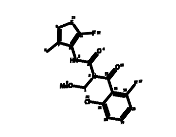 COCN(C(=O)Nc1c(C)csc1F)C(=O)c1c(F)cccc1Cl